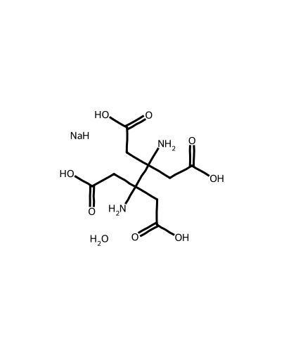 NC(CC(=O)O)(CC(=O)O)C(N)(CC(=O)O)CC(=O)O.O.[NaH]